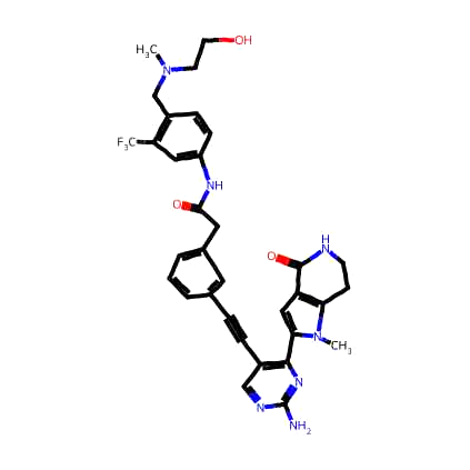 CN(CCO)Cc1ccc(NC(=O)Cc2cccc(C#Cc3cnc(N)nc3-c3cc4c(n3C)CCNC4=O)c2)cc1C(F)(F)F